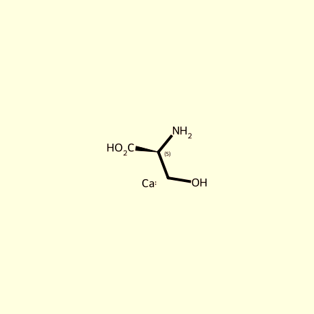 N[C@@H](CO)C(=O)O.[Ca]